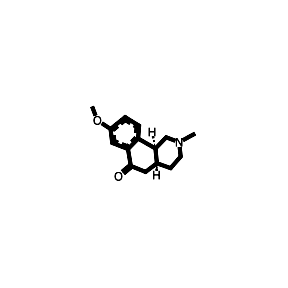 COc1ccc2c(c1)C(=O)C[C@@H]1CCN(C)C[C@H]21